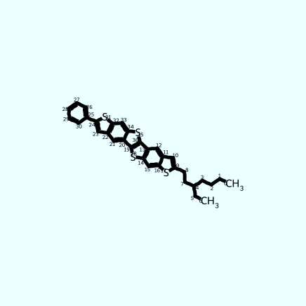 CCCCC(CC)CCc1cc2cc3c(cc2s1)sc1c2cc4cc(-c5ccccc5)sc4cc2sc31